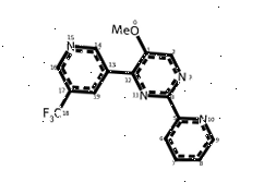 COc1cnc(-c2ccccn2)nc1-c1[c]ncc(C(F)(F)F)c1